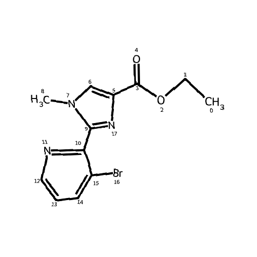 CCOC(=O)c1cn(C)c(-c2ncccc2Br)n1